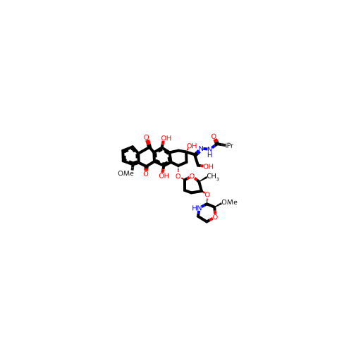 COc1cccc2c1C(=O)c1c(O)c3c(c(O)c1C2=O)C[C@@](O)(/C(CO)=N/NC(=O)C(C)C)C[C@@H]3O[C@H]1CC[C@H](O[C@H]2NCCO[C@@H]2OC)[C@H](C)O1